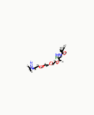 CC(C)NCCOCCOCCOC(C)C(F)CNC(=O)C(C)C